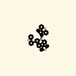 c1ccc2c(c1)Oc1ccccc1C21c2ccccc2-c2cc(N(c3ccc(-c4cccc5oc6ccccc6c45)cc3)c3cccc4c3-c3ccccc3C43c4ccccc4Oc4ccccc43)ccc21